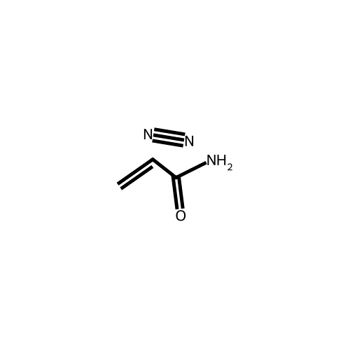 C=CC(N)=O.N#N